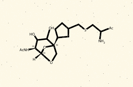 CC(=O)N[C@H]1C(O)C(O)[C@]2(C3CCC(CSCC(N)C(C)=O)C3)CO[C@H]1O2